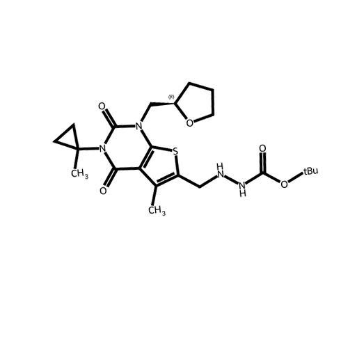 Cc1c(CNNC(=O)OC(C)(C)C)sc2c1c(=O)n(C1(C)CC1)c(=O)n2C[C@H]1CCCO1